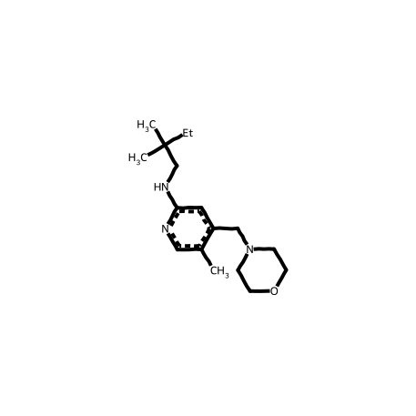 CCC(C)(C)CNc1cc(CN2CCOCC2)c(C)cn1